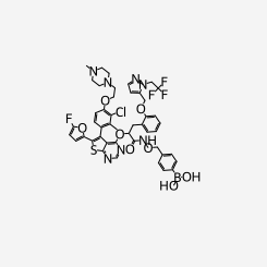 Cc1c(-c2c(-c3ccc(F)o3)sc3ncnc(OC(Cc4ccccc4OCc4ccnn4CC(F)(F)F)C(=O)NOCc4ccc(B(O)O)cc4)c23)ccc(OCCN2CCN(C)CC2)c1Cl